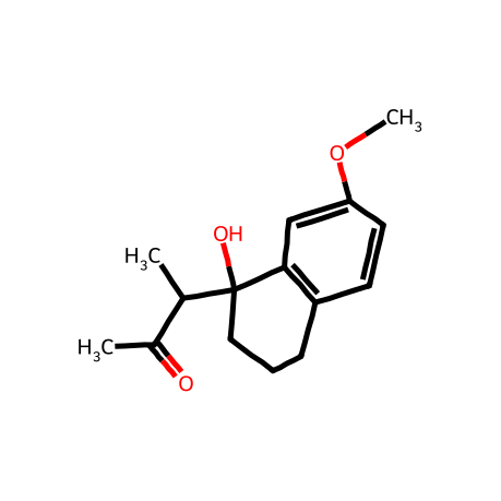 COc1ccc2c(c1)C(O)(C(C)C(C)=O)CCC2